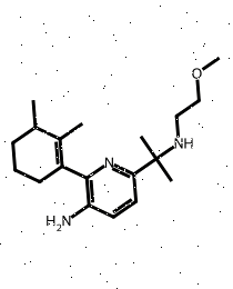 COCCNC(C)(C)c1ccc(N)c(C2=C(C)C(C)CCC2)n1